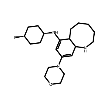 I[C@H]1CC[C@@H](NC2=CC(N3CCOCC3)=CC3NCCCCCC23)CC1